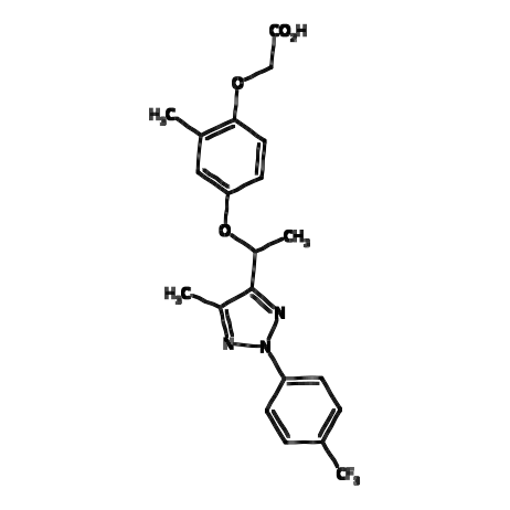 Cc1cc(OC(C)c2nn(-c3ccc(C(F)(F)F)cc3)nc2C)ccc1OCC(=O)O